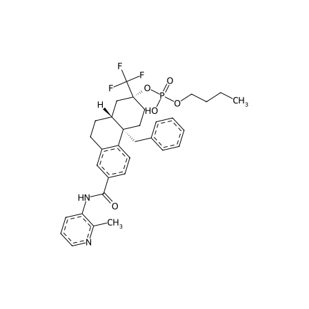 CCCCOP(=O)(O)O[C@]1(C(F)(F)F)CC[C@@]2(Cc3ccccc3)c3ccc(C(=O)Nc4cccnc4C)cc3CC[C@@H]2C1